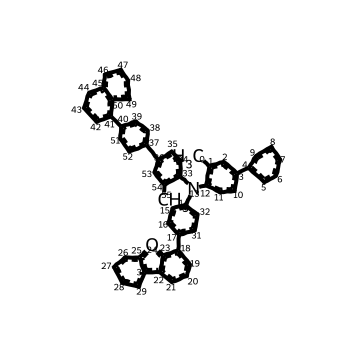 Cc1cc(-c2ccccc2)ccc1N(c1ccc(-c2cccc3c2oc2ccccc23)cc1)c1ccc(-c2ccc(-c3cccc4ccccc34)cc2)cc1C